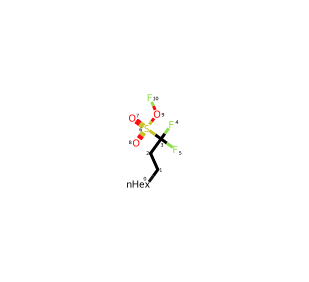 CCCCCCCCC(F)(F)S(=O)(=O)OF